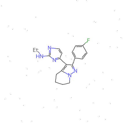 CCNc1nccc(-c2c(-c3ccc(F)cc3)nn3c2CCCC3)n1